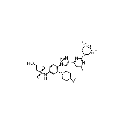 Cc1cc(-c2cn(-c3ccc(NS(=O)(=O)CCO)cc3N3CCC4(CC3)CC4)nn2)nc(N2C[C@@H](C)O[C@@H](C)C2)n1